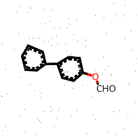 O=COc1ccc(-c2ccccc2)cc1